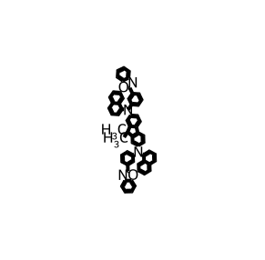 CC1(C)c2cc(N(c3cccc(-c4nc5ccccc5o4)c3)c3cccc4ccccc34)ccc2-c2ccc(N(c3cccc(-c4nc5ccccc5o4)c3)c3cccc4ccccc34)cc21